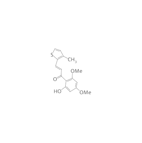 COc1cc(O)c(C(=O)C=Cc2sccc2C)c(OC)c1